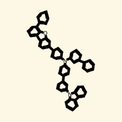 c1ccc(-c2cccc(N(c3ccc(-c4cccc(-n5c6ccccc6c6ccccc65)c4)cc3)c3ccc(-c4ccc5c(c4)oc4c(-c6ccccc6)cccc45)cc3)c2)cc1